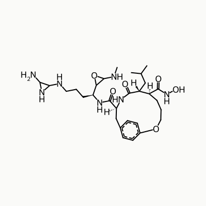 CNC1OC1[C@H](CCCNC1NC1N)NC(=O)[C@@H]1Cc2ccc(cc2)OCCC[C@H](C(=O)NO)[C@@H](CC(C)C)C(=O)N1